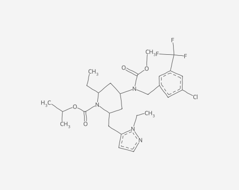 CCC1CC(N(Cc2cc(Cl)cc(C(F)(F)F)c2)C(=O)OC)CC(Cc2ccnn2CC)N1C(=O)OC(C)C